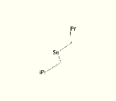 CC(C)C[Se]CC(C)C